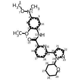 COc1cc(N(C)OC)ccc1NC(=O)c1cccc(-c2ccnn2C2CCCCO2)n1